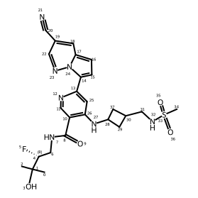 CC(C)(O)[C@H](F)CNC(=O)c1cnc(-c2ccc3cc(C#N)cnn23)cc1NC1CC(CNS(C)(=O)=O)C1